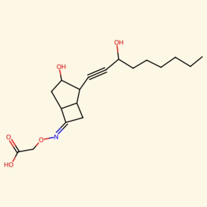 CCCCCCC(O)C#CC1C(O)CC2C(=NOCC(=O)O)CC21